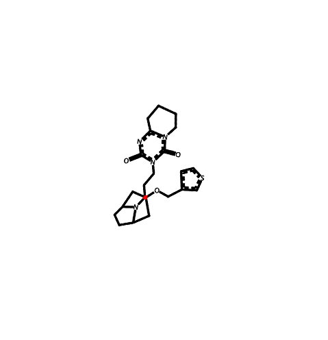 O=c1nc2n(c(=O)n1CCCN1C3CCC1CC(OCc1ccsc1)C3)CCCC2